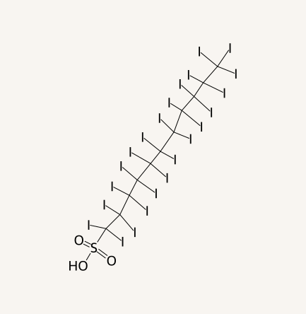 O=S(=O)(O)C(I)(I)C(I)(I)C(I)(I)C(I)(I)C(I)(I)C(I)(I)C(I)(I)C(I)(I)C(I)(I)C(I)(I)C(I)(I)I